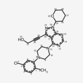 Cc1ccc(Cl)cc1N1CCN(c2ncnc3c2c(C#CCO)nn3C2CCCCO2)CC1